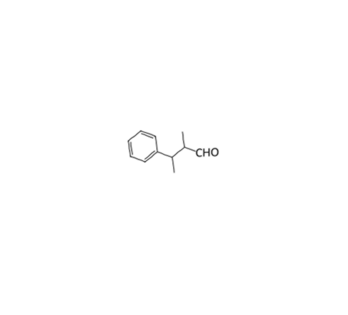 CC(C=O)C(C)c1ccccc1